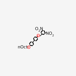 CCCCCCCCOc1ccc(-c2ccc(OCc3cc([N+](=O)[O-])cc([N+](=O)[O-])c3)cc2)cc1